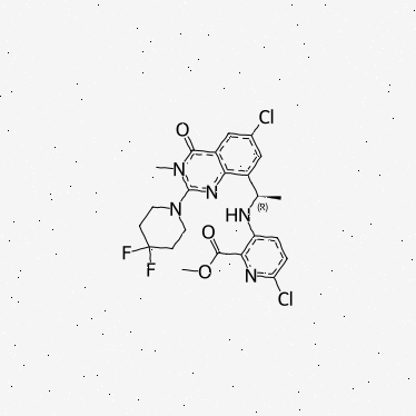 COC(=O)c1nc(Cl)ccc1N[C@H](C)c1cc(Cl)cc2c(=O)n(C)c(N3CCC(F)(F)CC3)nc12